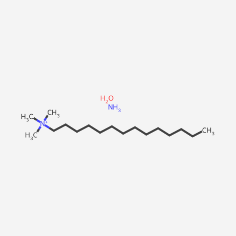 CCCCCCCCCCCCCC[N+](C)(C)C.N.O